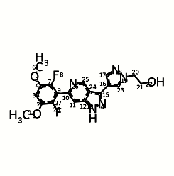 COc1cc(OC)c(F)c(-c2cc3[nH]nc(-c4cnn(CCO)c4)c3cn2)c1F